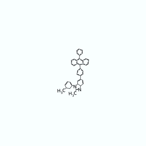 CC1=NC2C=CC(c3ccc(-c4c5ccccc5c(-c5ccccc5)c5ccccc45)cc3)=CC2N1C1=CC=CC(C)C1